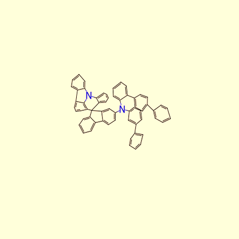 c1ccc(-c2ccc(-c3ccccc3N(c3cccc(-c4ccccc4)c3)c3ccc4c(c3)C3(c5ccccc5-4)c4ccccc4-n4c5ccccc5c5cccc3c54)cc2)cc1